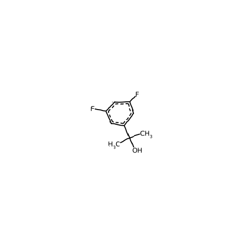 CC(C)(O)c1cc(F)[c]c(F)c1